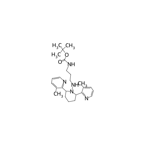 Cc1cccnc1C1CCCC(c2ncccc2C)N1NCCCNC(=O)OC(C)(C)C